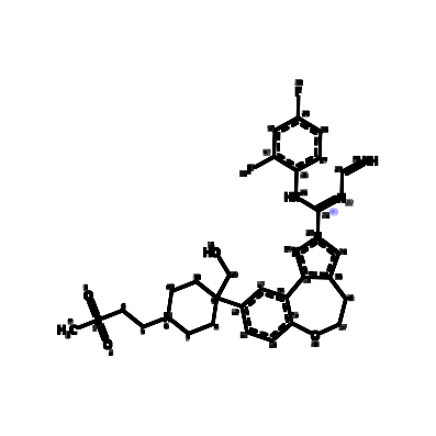 CS(=O)(=O)CCN1CCC(CO)(c2ccc3c(c2)-c2nn(/C(=N/C=N)Nc4ccc(F)cc4F)cc2CCO3)CC1